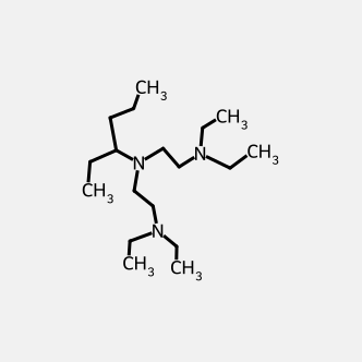 CCCC(CC)N(CCN(CC)CC)CCN(CC)CC